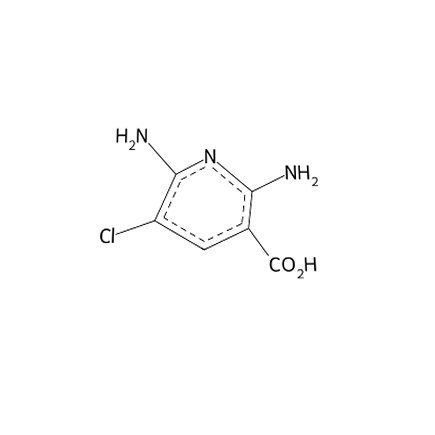 Nc1nc(N)c(C(=O)O)cc1Cl